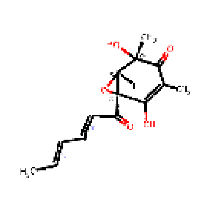 C/C=C/C=C/C(=O)[C@@]12O[C@@H]1[C@](C)(O)C(=O)C(C)=C2O